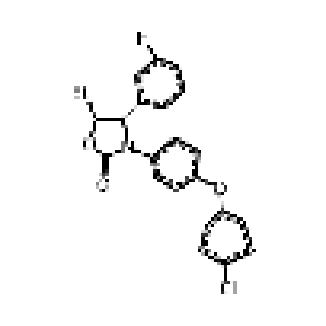 CC[C@@H]1OC(=O)N(c2ccc(Oc3ccc(Cl)cc3)cc2)[C@H]1c1cccc(F)c1